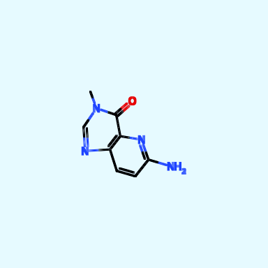 Cn1cnc2ccc(N)nc2c1=O